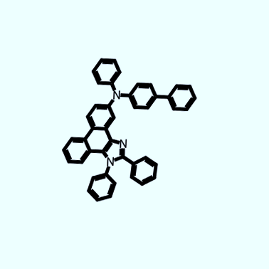 c1ccc(-c2ccc(N(c3ccccc3)c3ccc4c5ccccc5c5c(nc(-c6ccccc6)n5-c5ccccc5)c4c3)cc2)cc1